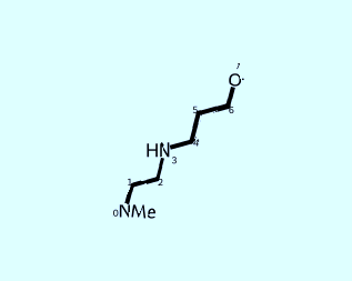 CNCCNCCC[O]